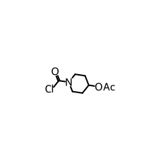 CC(=O)OC1CCN(C(=O)Cl)CC1